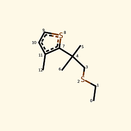 CCSCC(C)(C)c1sccc1C